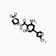 Nc1cc(-c2csc(C(F)(F)F)c2)c[n+]([O-])c1C(=O)N[C@@H]1C=CS(=O)(=O)C1